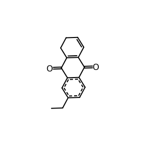 CCc1ccc2c(c1)C(=O)C1=C(C=CCC1)C2=O